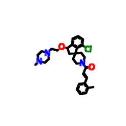 Cc1ccccc1/C=C/C(=O)N1CCC2(CC1)CC(OCCN1CCN(C)CC1)c1cccc(Cl)c12